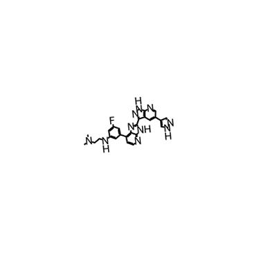 CN(C)CCNc1cc(F)cc(-c2ccnc3[nH]c(-c4n[nH]c5ncc(-c6cn[nH]c6)cc45)nc23)c1